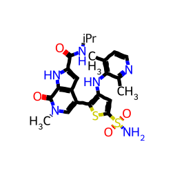 Cc1ccnc(C)c1Nc1cc(S(N)(=O)=O)sc1-c1cn(C)c(=O)c2[nH]c(C(=O)NC(C)C)cc12